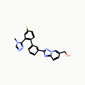 Cn1cnnc1-c1cc(F)ccc1-c1cccc(-c2nc3ccc(CO)cn3n2)c1